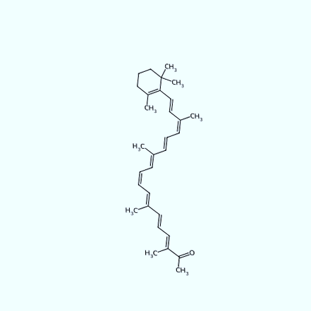 CC(=O)/C(C)=C/C=C/C(C)=C/C=C\C=C(C)\C=C\C=C(C)/C=C/C1=C(C)CCCC1(C)C